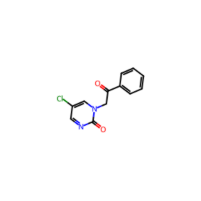 O=C(Cn1cc(Cl)cnc1=O)c1ccccc1